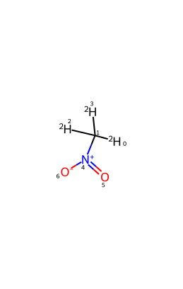 [2H]C([2H])([2H])[N+](=O)[O-]